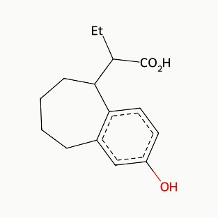 CCC(C(=O)O)C1CCCCc2cc(O)ccc21